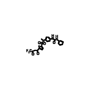 CN(c1ccc(NC(=O)Nc2ccccc2)cc1)S(=O)(=O)c1ccc(C(=O)CC(=O)C(F)(F)F)s1